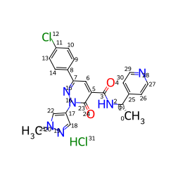 C[C@H](NC(=O)c1cc(-c2ccc(Cl)cc2)nn(-c2cnn(C)c2)c1=O)c1ccncc1.Cl